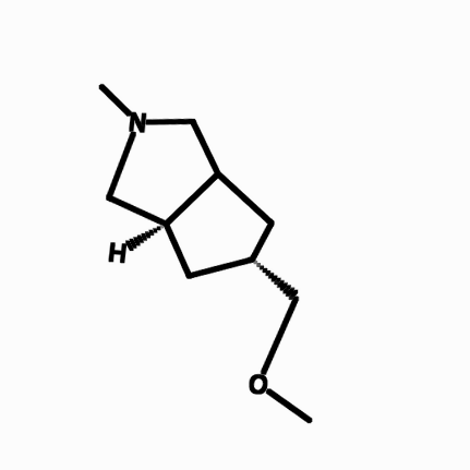 COC[C@H]1CC2CN(C)C[C@@H]2C1